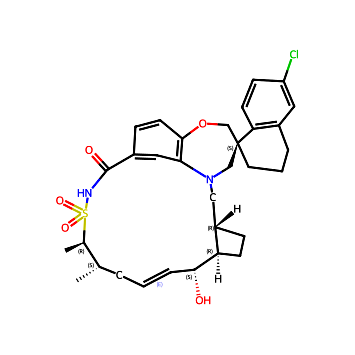 C[C@@H]1[C@@H](C)C/C=C/[C@@H](O)[C@@H]2CC[C@H]2CN2C[C@@]3(CCCc4cc(Cl)ccc43)COc3ccc(cc32)C(=O)NS1(=O)=O